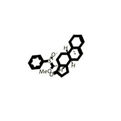 COC([S+]([O-])c1ccccc1)[C@]12CC[C@H]3[C@@H](CC=C4C=CCC[C@@]43C)[C@@H]1CCC2=O